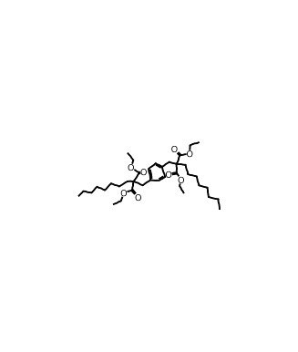 CCCCCCCCC(Cc1ccc(CC(CCCCCCCC)(C(=O)OCC)C(=O)OCC)cc1)(C(=O)OCC)C(=O)OCC